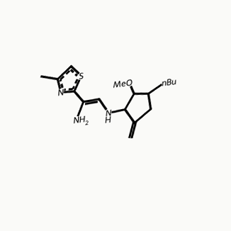 C=C1CC(CCCC)C(OC)C1N/C=C(\N)c1nc(C)cs1